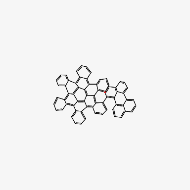 c1cc2cccc3c4c(-c5cccc6c5c5c7ccccc7c7c8ccccc8c8c9ccccc9c9c%10ccccc%10c%10c%11ccccc%11c6c6c%10c9c8c7c56)ccc5cccc(c(c1)c23)c54